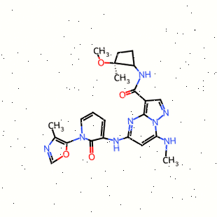 CNc1cc(Nc2cccn(-c3ocnc3C)c2=O)nc2c(C(=O)NC3CC[C@]3(C)OC)cnn12